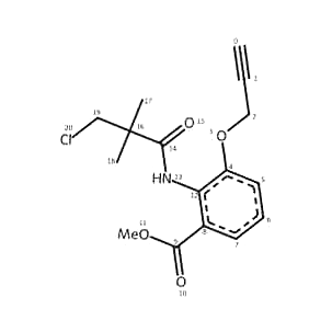 C#CCOc1cccc(C(=O)OC)c1NC(=O)C(C)(C)CCl